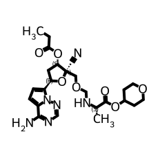 CCC(=O)O[C@H]1C[C@H](c2ccc3c(N)ncnn23)O[C@]1(C#N)COCN[C@@H](C)C(=O)OC1CCOCC1